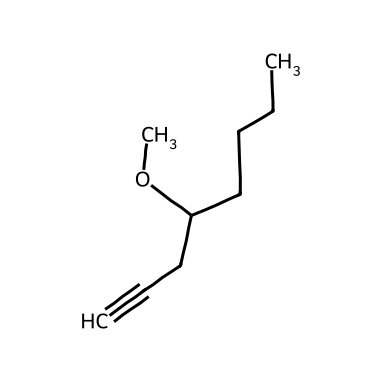 C#CCC(CCCC)OC